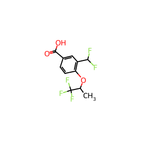 CC(Oc1ccc(C(=O)O)cc1C(F)F)C(F)(F)F